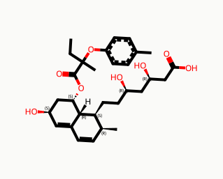 CCC(C)(Oc1ccc(C)cc1)C(=O)O[C@H]1C[C@H](O)C=C2C=C[C@H](C)[C@H](CC[C@@H](O)C[C@@H](O)CC(=O)O)[C@H]21